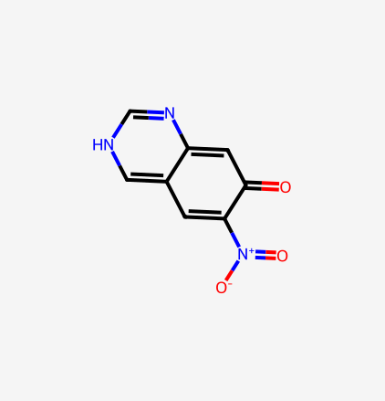 O=c1cc2nc[nH]cc-2cc1[N+](=O)[O-]